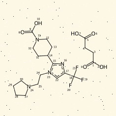 O=C(O)CCC(=O)O.O=C(O)N1CCC(c2nc(C(F)(F)F)cn2CCN2CCCC2)CC1